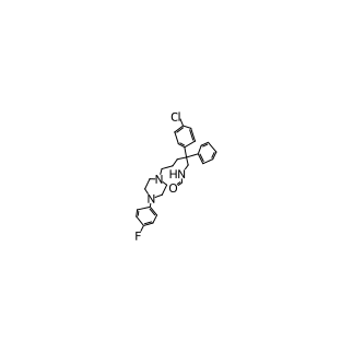 O=CNCC(CCCN1CCN(c2ccc(F)cc2)CC1)(c1ccccc1)c1ccc(Cl)cc1